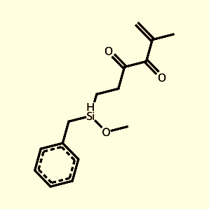 C=C(C)C(=O)C(=O)CC[SiH](Cc1ccccc1)OC